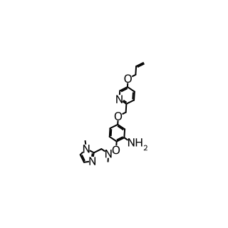 C=CCOc1ccc(COc2ccc(ON(C)Cc3nccn3C)c(N)c2)nc1